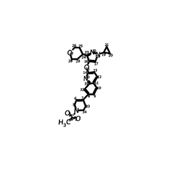 CS(=O)(=O)N1CC=C(c2ccc3ccc(Oc4cn(C5CC5)nc4C4CCOCC4)nc3c2)CC1